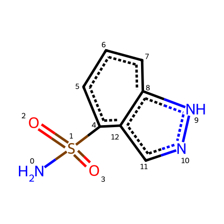 NS(=O)(=O)c1cccc2[nH]ncc12